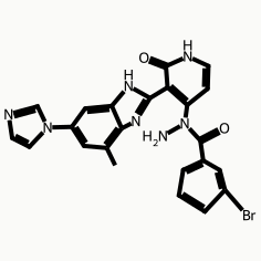 Cc1cc(-n2ccnc2)cc2[nH]c(-c3c(N(N)C(=O)c4cccc(Br)c4)cc[nH]c3=O)nc12